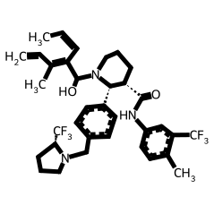 C=C/C(C)=C(\C=C/C)C(O)N1CCC[C@H](C(=O)Nc2ccc(C)c(C(F)(F)F)c2)[C@@H]1c1ccc(CN2CCC[C@@H]2C(F)(F)F)cc1